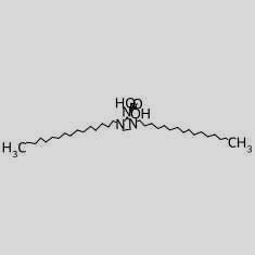 CCCCCCCCCCCCCCCCN1CCN(CCCCCCCCCCCCCCCC)C1=NP(=O)(O)O